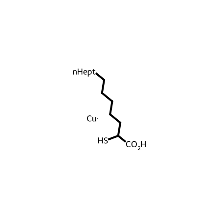 CCCCCCCCCCCCC(S)C(=O)O.[Cu]